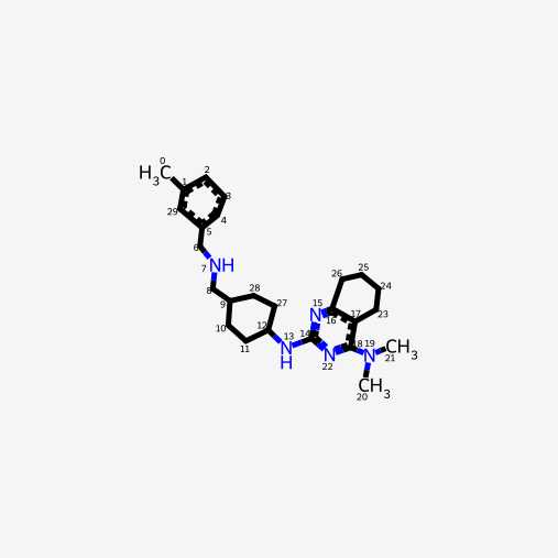 Cc1cccc(CNCC2CCC(Nc3nc4c(c(N(C)C)n3)CCCC4)CC2)c1